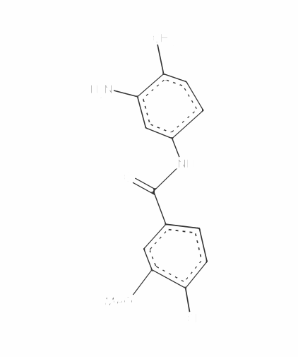 COc1cc(C(=O)Nc2ccc(C)c(N)c2)ccc1Cl